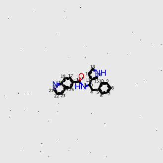 O=C(NC(Cc1ccccc1)c1cc[nH]c1)c1ccc2ncccc2c1